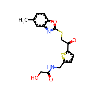 Cc1ccc2oc(SCC(=O)c3ccc(CNC(=O)CO)s3)nc2c1